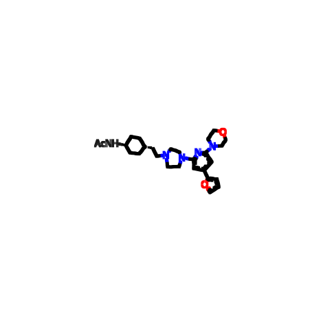 CC(=O)N[C@H]1CC[C@H](CCN2CCN(c3cc(-c4ccco4)cc(N4CCOCC4)n3)CC2)CC1